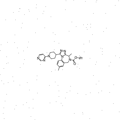 Cc1ccc2c(c1)CN(C(=O)OC(C)C)C(C)c1nnc(C3CCN(c4ccncn4)CC3)n1-2